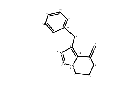 O=C1CCCn2nnc(Cc3ccccc3)c21